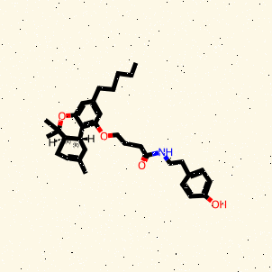 CCCCCc1cc(OCCCC(=O)NCCc2ccc(O)cc2)c2c(c1)OC(C)(C)[C@@H]1CC=C(C)C[C@@H]21